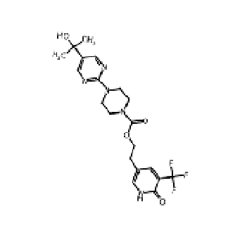 CC(C)(O)c1cnc(N2CCN(C(=O)OCCc3c[nH]c(=O)c(C(F)(F)F)c3)CC2)nc1